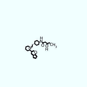 CC[C@@H](O)CC(=O)N[C@H]1CC[C@H](CCN2CCCCC2c2coc3cccc-3c2)CC1